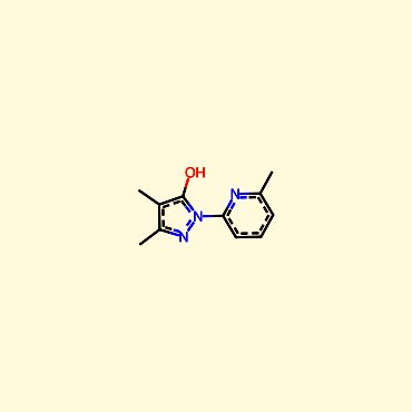 Cc1cccc(-n2nc(C)c(C)c2O)n1